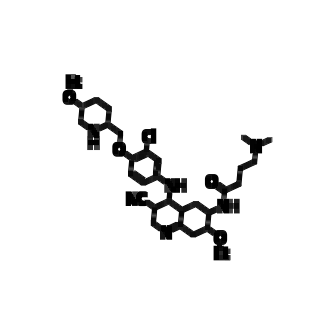 CCOC1CCC(COc2ccc(NC3C(C#N)CN=C4CC(OCC)C(NC(=O)CCCN(C)C)CC43)cc2Cl)NC1